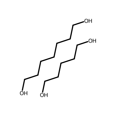 OCCCCCCCO.OCCCCCO